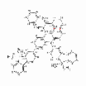 CC1(C)c2ccccc2-c2cc(-c3c4ccccc4c(-c4nc5ccccc5nc4-c4ccccc4)c4ccc(-c5ccc6c(c5)C(C)(C)c5ccccc5-6)cc34)ccc21